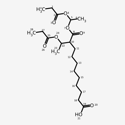 CCC(=O)OC(C)OC(=O)C(CCCCCCCCC(=O)O)C(C)OC(=O)CC